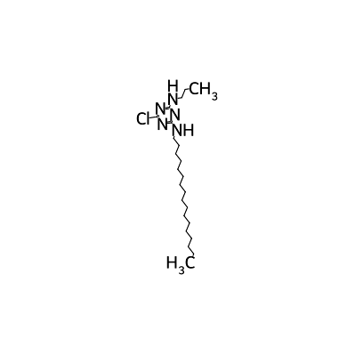 CCCCCCCCCCCCCCCCCNc1nc(Cl)nc(NCCC)n1